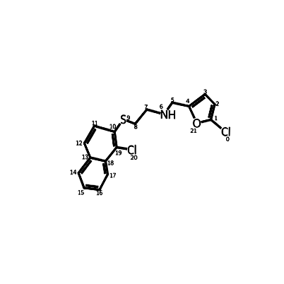 Clc1ccc(CNCCSc2ccc3ccccc3c2Cl)o1